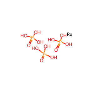 O=P(O)(O)O.O=P(O)(O)O.O=P(O)(O)O.[Ru]